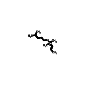 C/C=C/[PH](C)(C)OCCCC(C)C